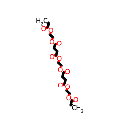 C=CC(=O)OCCOC(=O)CCC(=O)OCCOC(=O)CCC(=O)OCCOC(=O)C=C